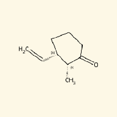 C=C[C@@H]1CCCC(=O)[C@@H]1C